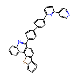 c1cc(-c2ccncc2)nc(-c2ccc(-c3ccc(-c4nc5ccccc5c5c4ccc4c6ccccc6sc45)cc3)cc2)c1